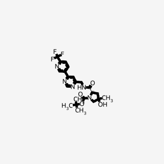 CC1(O)C[C@@H](C(=O)NCc2cc(-c3ccc(C(F)(F)F)nc3)ncn2)N(C(=O)OC(C)(C)C)C1